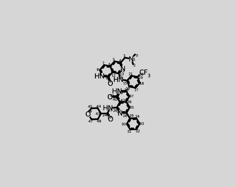 CN(C)Cc1cc2cc[nH]c(=O)c2c(Nc2cccc(C(F)(F)F)c2)n1.O=C(Nc1nc(-c2ccccc2)cc2cc[nH]c(=O)c12)C1CCOCC1